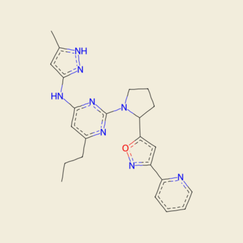 CCCc1cc(Nc2cc(C)[nH]n2)nc(N2CCCC2c2cc(-c3ccccn3)no2)n1